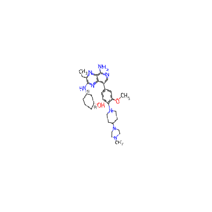 CCc1nc2c(N)ncc(-c3ccc(N4CCC(N5CCN(C)CC5)CC4)c(OC)c3)c2nc1N[C@H]1CCC[C@@H](O)C1